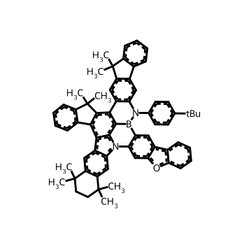 CC(C)(C)c1ccc(N2B3c4cc5c(cc4-n4c6cc7c(cc6c6c8c(c(c3c64)-c3cc4c(cc32)-c2ccccc2C4(C)C)C(C)(C)c2ccccc2-8)C(C)(C)CCC7(C)C)oc2ccccc25)cc1